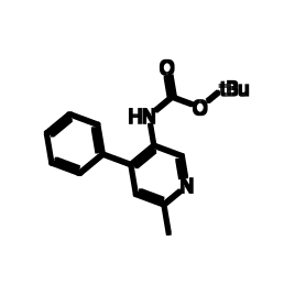 Cc1cc(-c2ccccc2)c(NC(=O)OC(C)(C)C)cn1